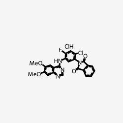 COc1cc2ncnc(Nc3cc(N4C(=O)c5ccccc5C4=O)c(Cl)cc3F)c2cc1OC.Cl